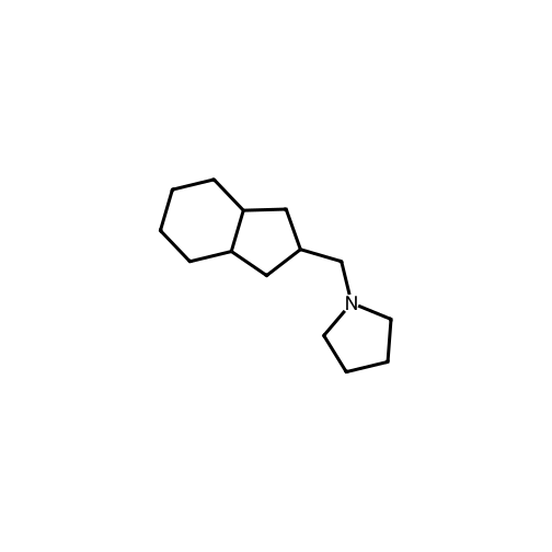 C1CCC2CC(CN3CCCC3)CC2C1